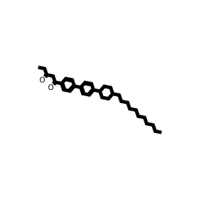 CCCCCCCCCCCC1CCC(c2ccc(-c3ccc(C(=O)CC(=O)CC)cc3)cc2)CC1